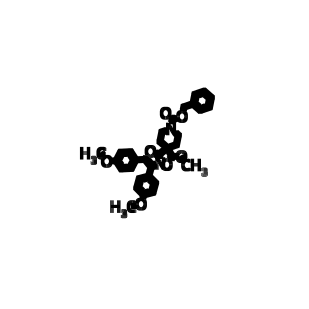 COC(=O)C1(c2nc(-c3ccc(OC)cc3)c(-c3ccc(OC)cc3)o2)CCN(C(=O)OCc2ccccc2)CC1